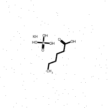 CCCCCC(=O)O.O=P(O)(O)O.[KH]